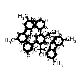 Cc1ccc2c(c1)c1cc(C)ccc1n2-c1c(-c2cccc(F)c2)c(C(C)(C)C)c(-n2c3ccc(C)cc3c3cc(C)ccc32)c(C(C)(C)C)c1-c1cccc(F)c1